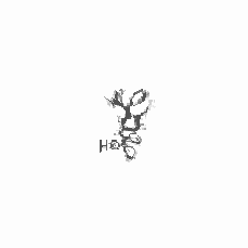 C=C(C)C(=O)c1cc2c(cc1C)OC(C(=O)O)C2